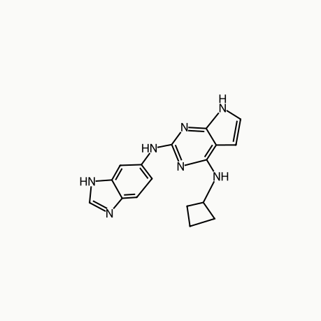 c1nc2ccc(Nc3nc(NC4CCC4)c4cc[nH]c4n3)cc2[nH]1